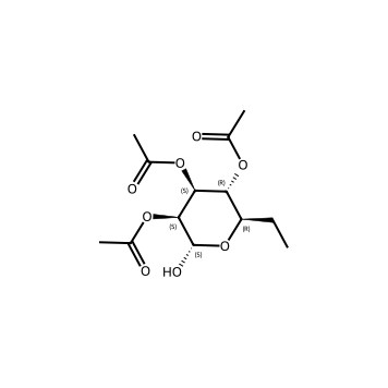 CC[C@H]1O[C@H](O)[C@@H](OC(C)=O)[C@@H](OC(C)=O)[C@@H]1OC(C)=O